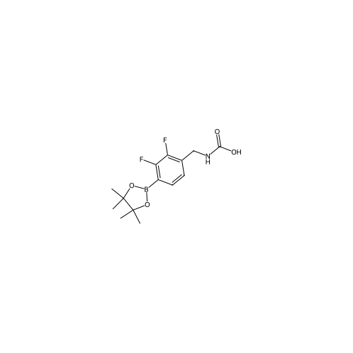 CC1(C)OB(c2ccc(CNC(=O)O)c(F)c2F)OC1(C)C